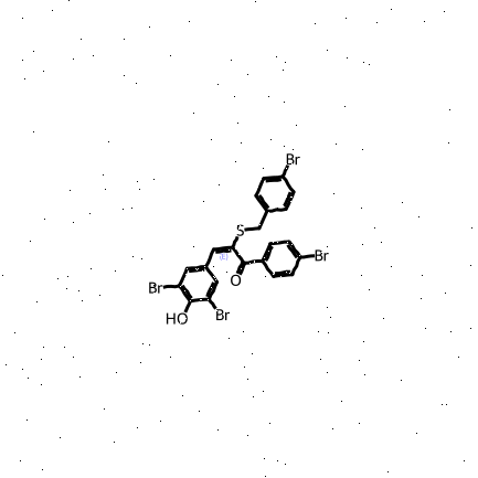 O=C(/C(=C\c1cc(Br)c(O)c(Br)c1)SCc1ccc(Br)cc1)c1ccc(Br)cc1